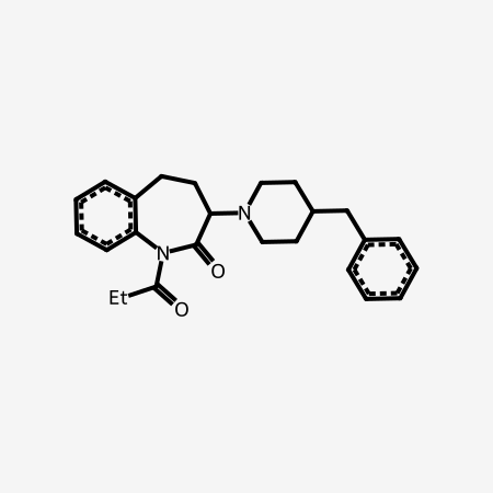 CCC(=O)N1C(=O)C(N2CCC(Cc3ccccc3)CC2)CCc2ccccc21